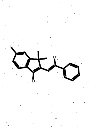 CCC1=C(/C=C(\CC)c2ccccc2)C(C)(C)c2cc(I)ccc21